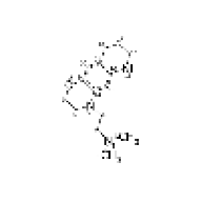 CN(C)CCN1CCOc2cc3c(cc21)NCCC3